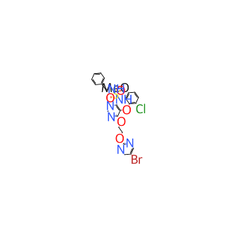 COc1ccc(Cl)c(Oc2c(NS(=O)(=O)NCc3ccccc3)ncnc2OCCOc2ncc(Br)cn2)c1